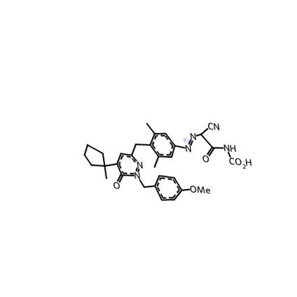 COc1ccc(Cn2nc(Cc3c(C)cc(/N=N/C(C#N)C(=O)NC(=O)O)cc3C)cc(C3(C)CCCC3)c2=O)cc1